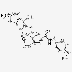 CCSc1ccc(CNC(=O)c2cc3c(s2)C2(CCN(C(C)c4cnc(C(F)(F)F)nc4)CC2)OCC3)nc1